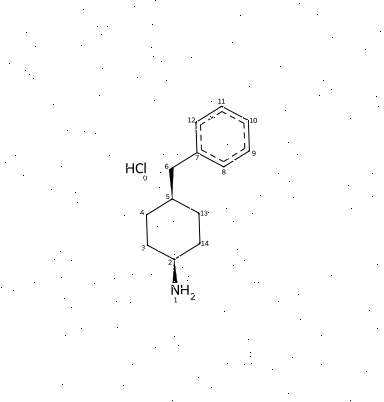 Cl.N[C@H]1CC[C@@H](Cc2ccccc2)CC1